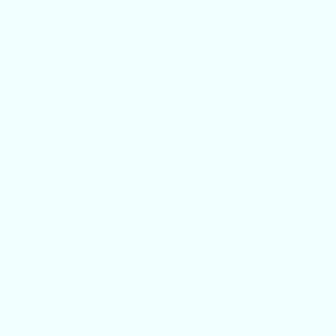 C=CCOc1ccc(C(=O)Oc2ccc(OC(=O)C(=C)C)cc2)cc1